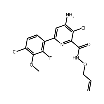 C=CCONC(=O)c1nc(-c2ccc(Cl)c(OC)c2F)cc(N)c1Cl